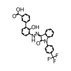 O=C(O)c1cccc(-c2cccc(NN=C3C(=O)N(c4ccc(C(F)(F)F)cc4)c4ccccc43)c2O)c1